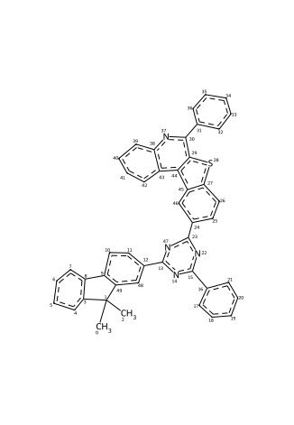 CC1(C)c2ccccc2-c2ccc(-c3nc(-c4ccccc4)nc(-c4ccc5sc6c(-c7ccccc7)nc7ccccc7c6c5c4)n3)cc21